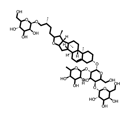 CC1O[C@@H](O[C@H]2C(O)[C@H](O[C@@H]3OC(CO)[C@@H](O)C(O)[C@@H]3O)C(CO)O[C@H]2O[C@H]2CC[C@@]3(C)C(=CC[C@H]4[C@@H]5CC6OC(CC[C@@H](C)CO[C@@H]7OC(CO)[C@@H](O)C(O)[C@@H]7O)[C@@H](C)[C@@H]6[C@@]5(C)CC[C@@H]43)C2)[C@@H](O)C(O)[C@H]1O